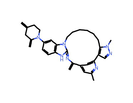 C=C1CCN(c2ccc3c(c2)N2CCCCCCc4c(cnn4C)-c4cc(cc(C)n4)C(=C)/N=C/2N3)C(=C)C1